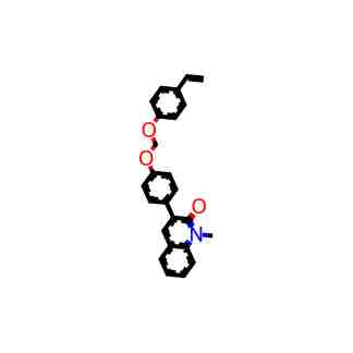 C=Cc1ccc(OCOc2ccc(-c3cc4ccccc4n(C)c3=O)cc2)cc1